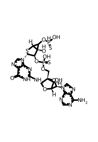 Nc1nc2c(ncn2[C@@H]2S[C@@H]3C(O[PH](O)=S)[C@]3(O)[C@H]2OP(O)(=S)OC[C@@]23CO[C@@H]([C@H](n4cnc5c(N)ncnc54)O2)[C@@H]3O)c(=O)[nH]1